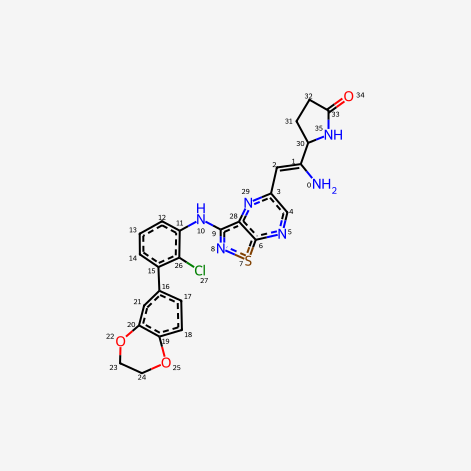 NC(=Cc1cnc2snc(Nc3cccc(-c4ccc5c(c4)OCCO5)c3Cl)c2n1)C1CCC(=O)N1